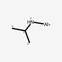 CC(C)[NH][Al]